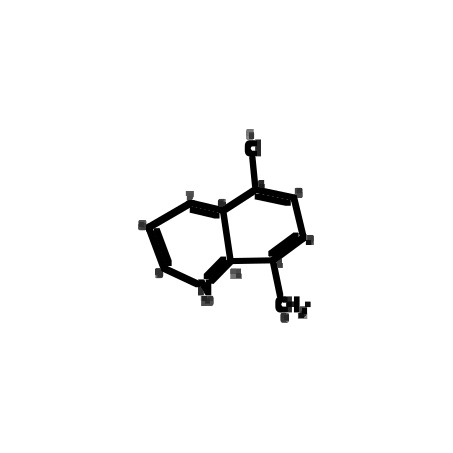 [CH2]c1ccc(Cl)c2cccnc12